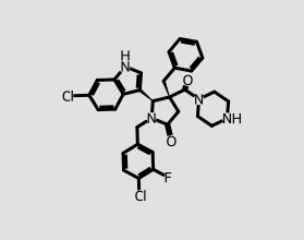 O=C1C[C@@](Cc2ccccc2)(C(=O)N2CCNCC2)[C@H](c2c[nH]c3cc(Cl)ccc23)N1Cc1ccc(Cl)c(F)c1